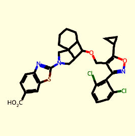 O=C(O)c1ccc2nc(N3CC4C(OCc5c(-c6c(Cl)cccc6Cl)noc5C5CC5)C5CCCCC54C3)sc2c1